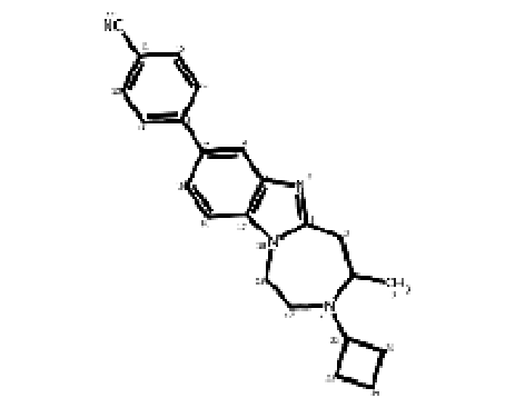 CC1Cc2nc3cc(-c4ccc(C#N)cc4)ccc3n2CCN1C1CCC1